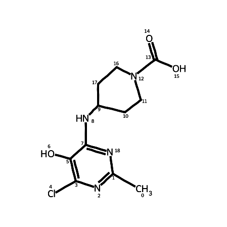 Cc1nc(Cl)c(O)c(NC2CCN(C(=O)O)CC2)n1